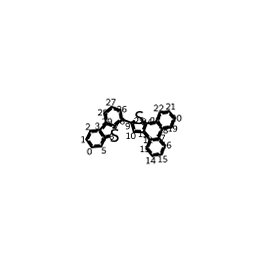 c1ccc2c(c1)sc1c(-c3cc4c5ccccc5c5ccccc5c4s3)cccc12